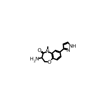 CN1C(=O)C(N)COc2ccc(-c3cc[nH]n3)cc21